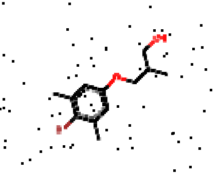 Cc1cc(OCC(C)CO)cc(C)c1Br